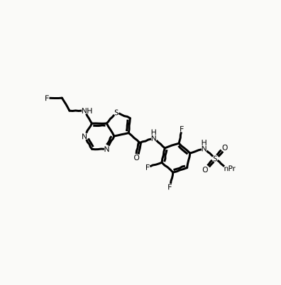 CCCS(=O)(=O)Nc1cc(F)c(F)c(NC(=O)c2csc3c(NCCF)ncnc23)c1F